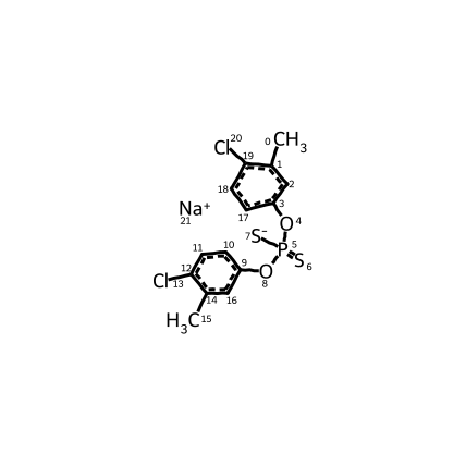 Cc1cc(OP(=S)([S-])Oc2ccc(Cl)c(C)c2)ccc1Cl.[Na+]